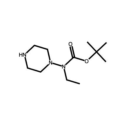 CCN(C(=O)OC(C)(C)C)N1CCNCC1